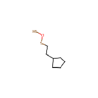 SOSCCC1CCCC1